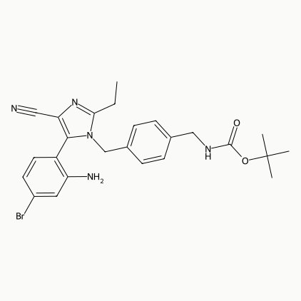 CCc1nc(C#N)c(-c2ccc(Br)cc2N)n1Cc1ccc(CNC(=O)OC(C)(C)C)cc1